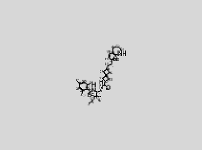 CCOC(=O)C(CNC(=O)C1CC2(CC(CCc3ccc4c(n3)NCCC4)C2)C1)N[S+]([O-])c1c(C)cc(C)cc1C